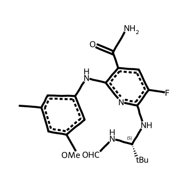 COc1cc(C)cc(Nc2nc(N[C@@H](NC=O)C(C)(C)C)c(F)cc2C(N)=O)c1